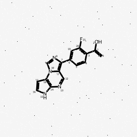 C=C(O)c1ccc(-c2ncn3c2cnc2[nH]ccc23)cc1F